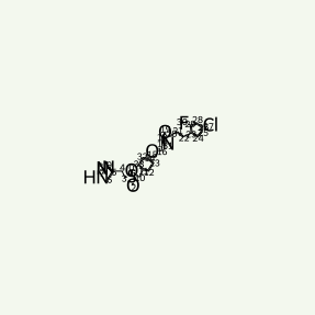 O=S(=O)(CCc1c[nH]nn1)Cc1ccc(OCc2coc(C=Cc3ccc(Cl)cc3F)n2)cc1